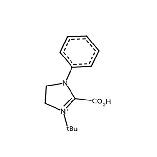 CC(C)(C)[N+]1=C(C(=O)O)N(c2ccccc2)CC1